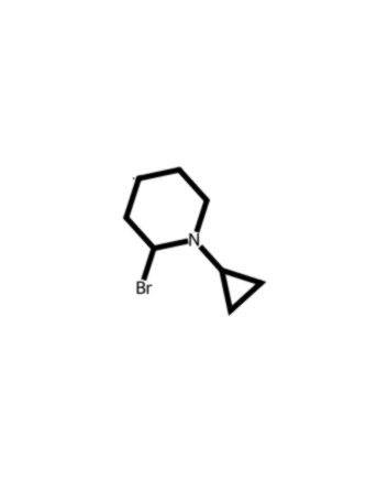 BrC1C[CH]CCN1C1CC1